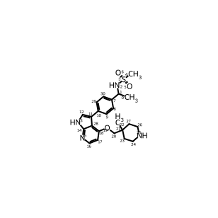 CC(NS(C)(=O)=O)c1ccc(-c2c[nH]c3nccc(OCC4(C)CCNCC4)c23)cc1